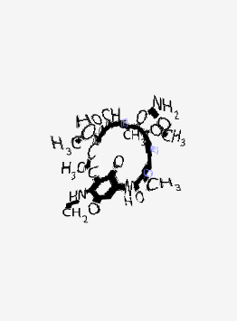 C=CCNC1=C2C[C@@H](C)C[C@@H](OC)[C@@H](O)[C@H](C)/C=C(\C)[C@H](OC(N)=O)[C@@H](OC)/C=C/C=C(/C)C(=O)NC(=CC1=O)C2=O